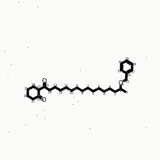 CC(CCCCCCCCCCCCCC(=O)C1CCCCC1=O)OCc1ccccc1